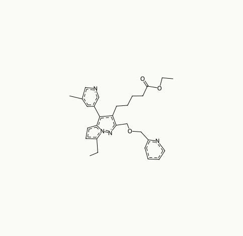 CCOC(=O)CCCCc1c(COCc2ccccn2)nn2c(CC)ccc2c1-c1cncc(C)c1